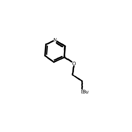 CC(C)(C)CCOc1cccnc1